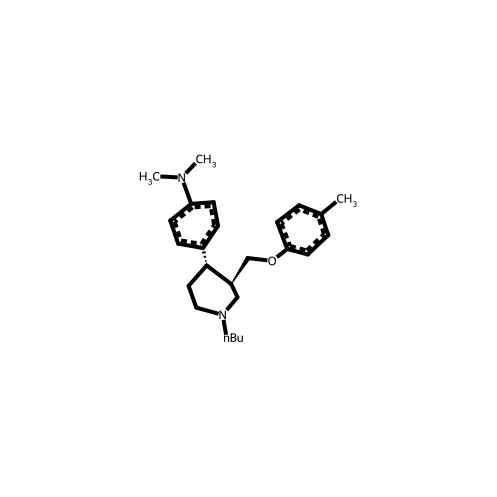 CCCCN1CC[C@H](c2ccc(N(C)C)cc2)[C@@H](COc2ccc(C)cc2)C1